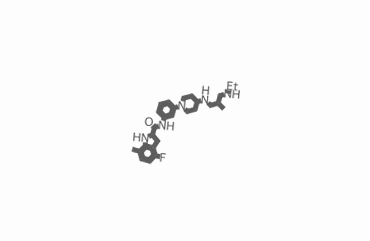 CCNCC(C)CNC1CCN(c2cccc(NC(=O)C3Cc4c(F)ccc(C)c4N3)c2)CC1